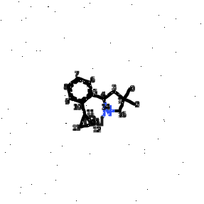 CC1(C)CC(c2ccccc2C2CC2)N(C(C)(C)C)C1